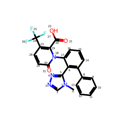 Cn1cnnc1-c1c(-c2ccccc2)cccc1-n1c(C(=O)O)c(C(F)(F)F)ccc1=O